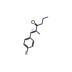 CCCC(=O)/C(C)=C/c1ccc(F)cc1